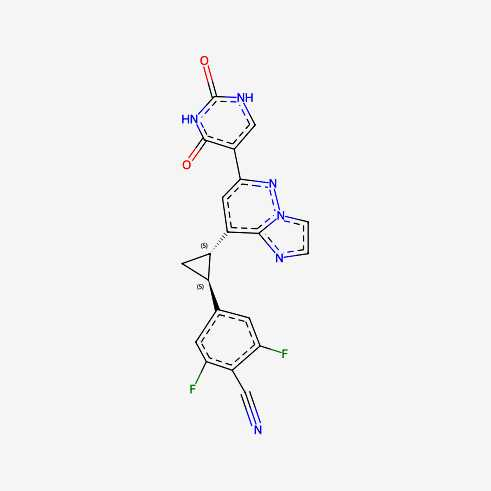 N#Cc1c(F)cc([C@H]2C[C@@H]2c2cc(-c3c[nH]c(=O)[nH]c3=O)nn3ccnc23)cc1F